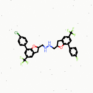 Fc1ccc(-c2cc(C(F)(F)F)cc3c2OC(CNNCC2Cc4cc(C(F)(F)F)cc(-c5ccc(Cl)cc5)c4O2)C3)cc1